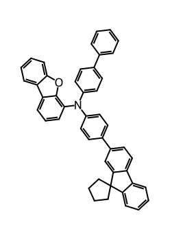 c1ccc(-c2ccc(N(c3ccc(-c4ccc5c(c4)C4(CCCC4)c4ccccc4-5)cc3)c3cccc4c3oc3ccccc34)cc2)cc1